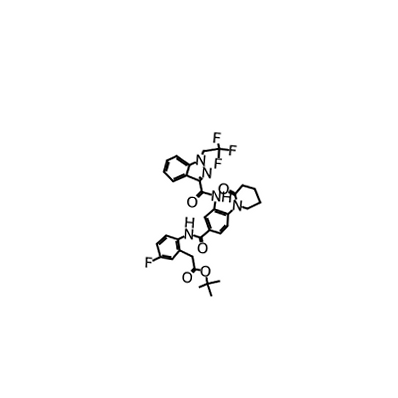 CC(C)(C)OC(=O)Cc1cc(F)ccc1NC(=O)c1ccc(N2CCCCC2=O)c(NC(=O)c2nn(CC(F)(F)F)c3ccccc23)c1